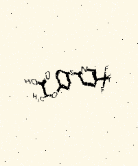 CC(Oc1ccc(Sc2ccc(C(F)(F)F)cn2)cc1)C(=O)O